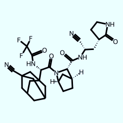 N#C[C@H](C[C@@H]1CCNC1=O)NC(=O)[C@@H]1[C@H]2CC[C@H](C2)N1C(=O)[C@@H](NC(=O)C(F)(F)F)C12CC3CC(CC(C#N)(C3)C1)C2